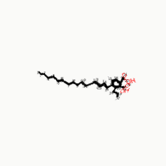 CCCCCCCCCCCCCCCCc1ccc(C(=O)O)c(C(=O)O)c1CCC